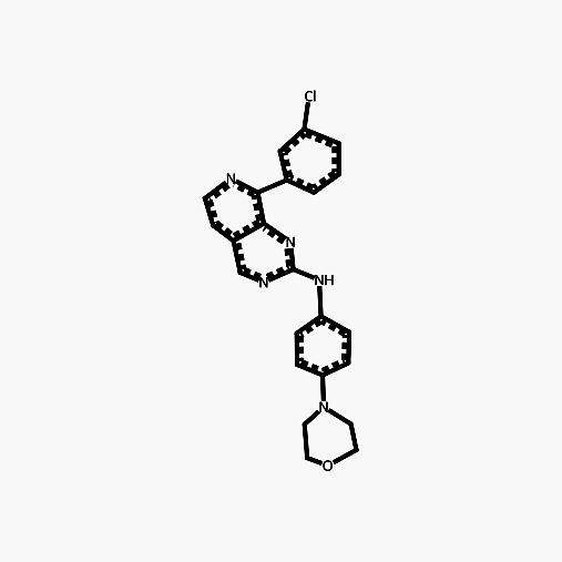 Clc1cccc(-c2nccc3cnc(Nc4ccc(N5CCOCC5)cc4)nc23)c1